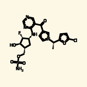 C[C@@H](c1ccc(Cl)o1)n1ccc(C(=O)c2cncnc2N[C@@H]2C[C@H](COS(N)(=O)=O)[C@@H](O)[C@@H]2F)c1